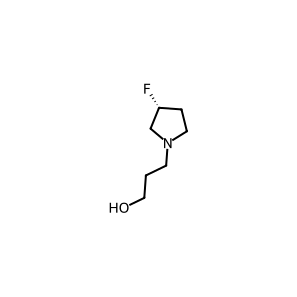 OCCCN1CC[C@@H](F)C1